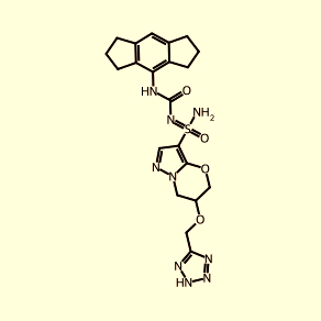 NS(=O)(=NC(=O)Nc1c2c(cc3c1CCC3)CCC2)c1cnn2c1OCC(OCc1nn[nH]n1)C2